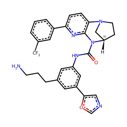 NCCCc1cc(NC(=O)N2c3nc(-c4cccc(C(F)(F)F)c4)ccc3N3CC[C@H]2C3)cc(-c2cnco2)c1